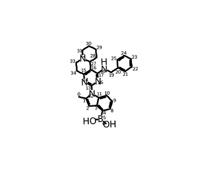 Cc1cc2c(B(O)O)cccc2n1-c1nc2c(c(NCc3ccccc3)n1)C1CCCCN1CC2